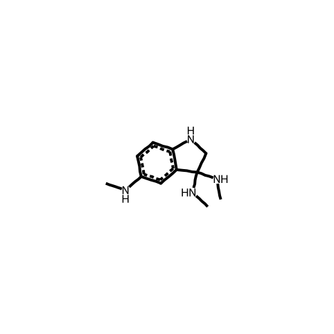 CNc1ccc2c(c1)C(NC)(NC)CN2